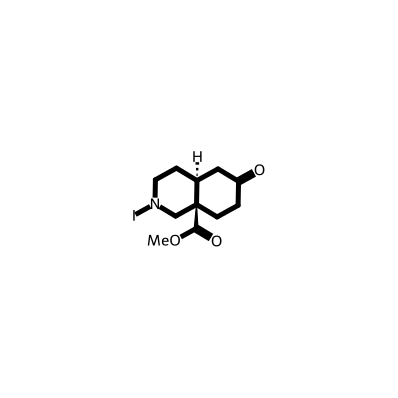 COC(=O)[C@]12CCC(=O)C[C@@H]1CCN(I)C2